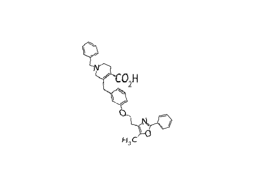 Cc1oc(-c2ccccc2)nc1CCOc1cccc(CC2=C(C(=O)O)CCN(Cc3ccccc3)C2)c1